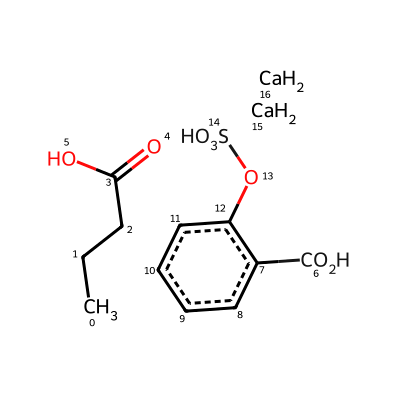 CCCC(=O)O.O=C(O)c1ccccc1OS(=O)(=O)O.[CaH2].[CaH2]